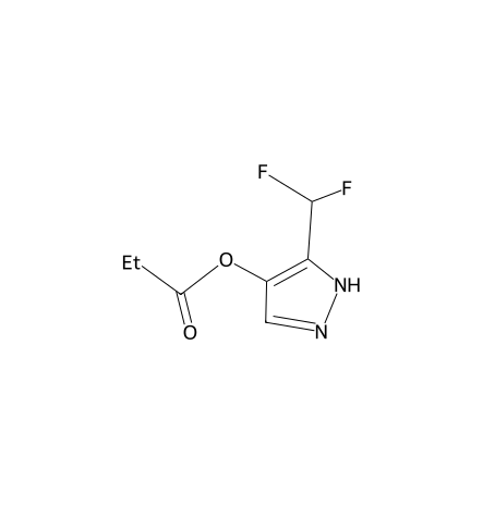 CCC(=O)Oc1cn[nH]c1C(F)F